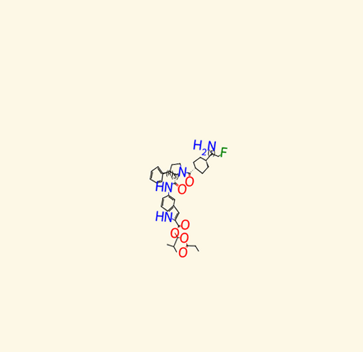 CCC(=O)OC(OC(=O)c1cc2cc(NC(=O)[C@@H]3[C@@H](c4ccccc4)CCN3C(=O)[C@H]3CC[C@H]([C@H](N)CF)CC3)ccc2[nH]1)C(C)C